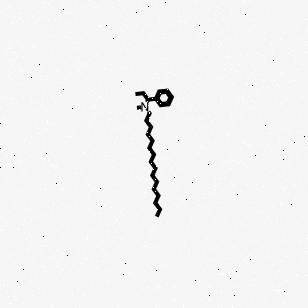 CCCCCCCCCCCCCCCCN(C)C(CC)c1ccccc1